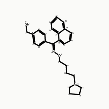 SCc1ccc(/C(=N/OCCCCN2CCCC2)c2cccc3ccccc23)cc1